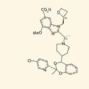 COc1cc(C(=O)O)cc2c1nc([C@H](C)N1CCC(C3OC(C)(c4ccc(Cl)cn4)Oc4ccccc43)CC1)n2C[C@@H]1CCO1